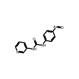 O=[As]c1ccc(NC(=O)Nc2cccnc2)cc1